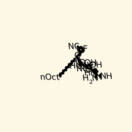 CCCCCCCC/C=C/CCCCCCCCCC[C@H](COP(=O)(O)OC[C@@]1(C#N)O[C@@H](c2ccc(/C(N)=N\C=N)[nH]2)[C@H](O)[C@@H]1O)OCc1cc(F)cc(C#N)c1